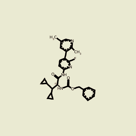 Cc1cnc(C)c(-c2ccc(NC(=O)[C@@H](NC(=O)OCc3ccccc3)C(C3CC3)C3CC3)nc2F)c1